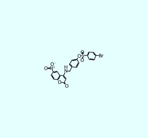 O=c1cc(NCc2ccc(OS(=O)(=O)c3ccc(Br)cc3)cc2)c2cc([N+](=O)[O-])ccc2o1